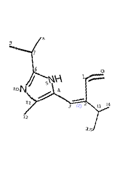 C=C/C(=C\c1[nH]c(C(C)C)nc1C)C(C)C